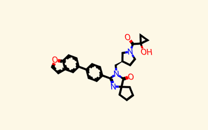 O=C(N1CC[C@@H](CN2C(=O)C3(CCCC3)N=C2c2ccc(-c3ccc4occc4c3)cc2)C1)C1(O)CC1